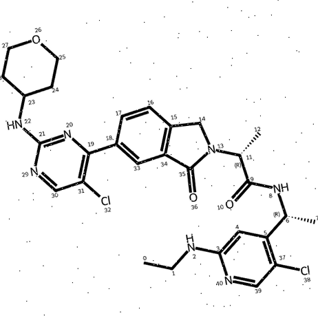 CCNc1cc([C@@H](C)NC(=O)[C@@H](C)N2Cc3ccc(-c4nc(NC5CCOCC5)ncc4Cl)cc3C2=O)c(Cl)cn1